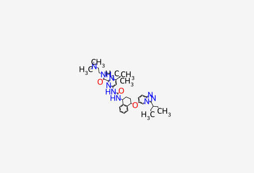 CCC(CC)c1nnc2ccc(O[C@@H]3CC[C@H](NC(=O)Nc4cc(C(C)(C)C)nc(C(=O)NCCN(C)C)n4)c4ccccc43)cn12